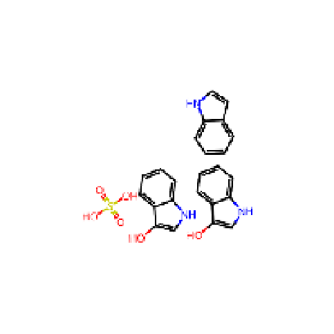 O=S(=O)(O)O.Oc1c[nH]c2ccccc12.Oc1c[nH]c2ccccc12.c1ccc2[nH]ccc2c1